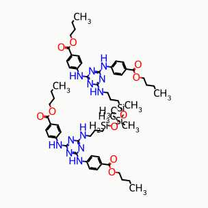 CCCCOC(=O)c1ccc(Nc2nc(NCCC[SiH2]O[Si](C)(C)O[Si](C)(C)CCCNc3nc(Nc4ccc(C(=O)OCCCC)cc4)nc(Nc4ccc(C(=O)OCCCC)cc4)n3)nc(Nc3ccc(C(=O)OCCCC)cc3)n2)cc1